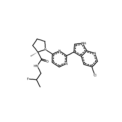 CC(F)CNC(=O)[C@@]1(C)CCCN1c1ccnc(-c2c[nH]c3ncc(Cl)cc23)n1